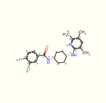 Cc1cc(C)c(N[C@H]2CC[C@@H](NC(=O)c3ccc(F)c(Cl)c3)CC2)nc1C